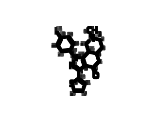 CN1CCC2CC(=O)c3c(-c4cccs4)nn(-c4ccc(I)cc4)c3C2C1